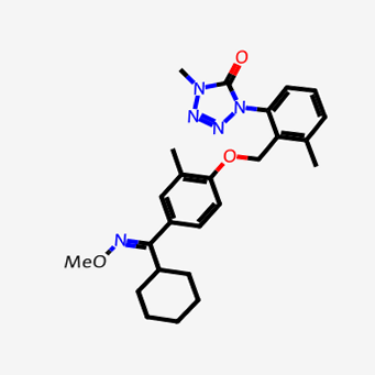 CO/N=C(/c1ccc(OCc2c(C)cccc2-n2nnn(C)c2=O)c(C)c1)C1CCCCC1